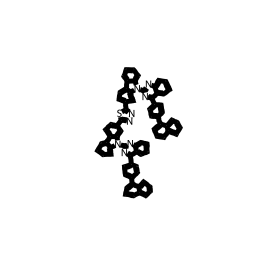 c1ccc2c(-c3ccc(-c4nc(-n5c6ccccc6c6ccc(-c7nnc(-c8ccc9c%10ccccc%10n(-c%10nc(-c%11ccc(-c%12cccc%13ccccc%12%13)cc%11)c%11ccccc%11n%10)c9c8)s7)cc65)nc5ccccc45)cc3)cccc2c1